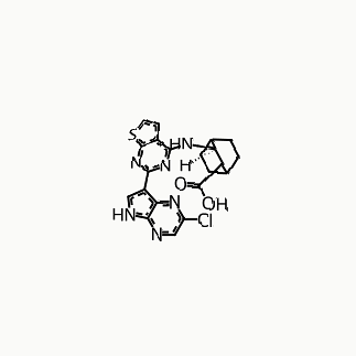 O=C(O)C1C2CCC(CC2)[C@@H]1Nc1nc(-c2c[nH]c3ncc(Cl)nc23)nc2sccc12